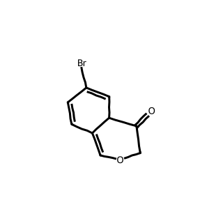 O=C1COC=C2C=CC(Br)=CC12